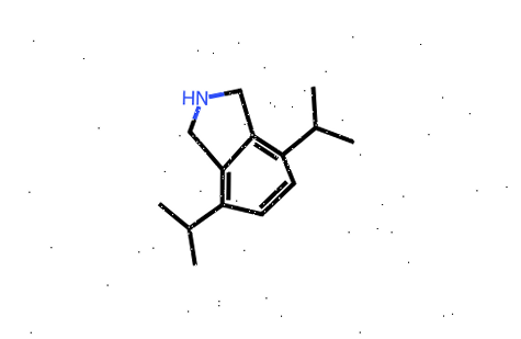 CC(C)c1ccc(C(C)C)c2c1CNC2